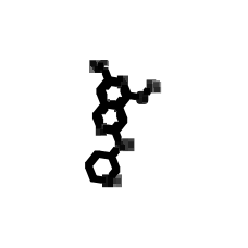 CCOc1nc(C#N)cc2cnc(NC3CCCNC3)cc12